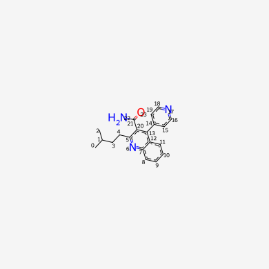 CC(C)CCc1nc2ccccc2c(-c2ccncc2)c1C(N)=O